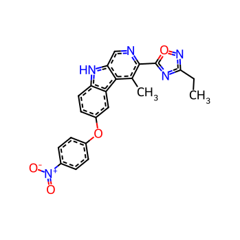 CCc1noc(-c2ncc3[nH]c4ccc(Oc5ccc([N+](=O)[O-])cc5)cc4c3c2C)n1